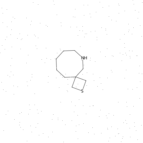 C1CCNCC2(CC1)CSC2